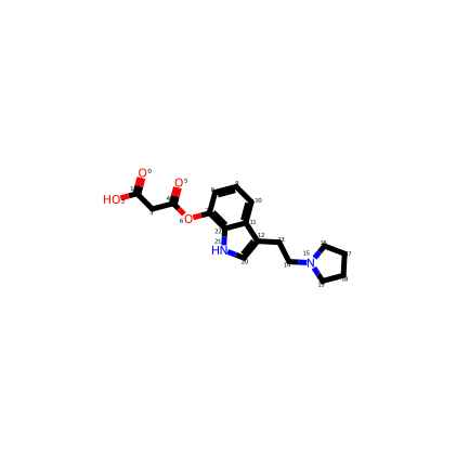 O=C(O)CC(=O)Oc1cccc2c(CCN3CCCC3)c[nH]c12